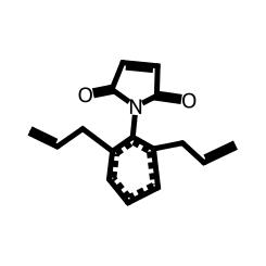 C=CCc1cccc(CC=C)c1N1C(=O)C=CC1=O